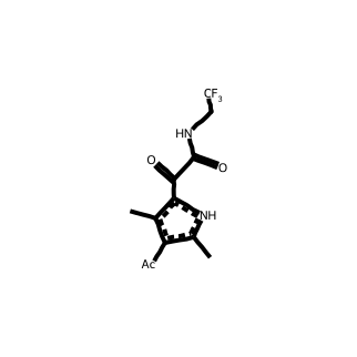 CC(=O)c1c(C)[nH]c(C(=O)C(=O)NCC(F)(F)F)c1C